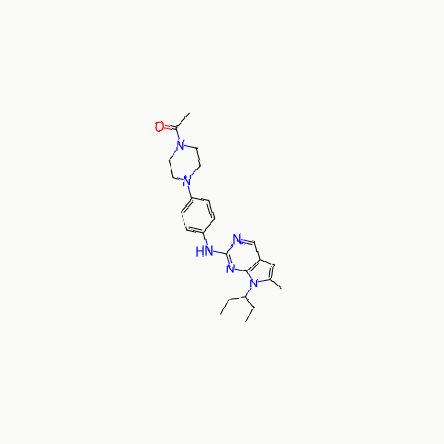 CCC(CC)n1c(C)cc2cnc(Nc3ccc(N4CCN(C(C)=O)CC4)cc3)nc21